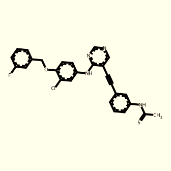 CC(=S)Nc1cccc(C#Cc2cncnc2Nc2ccc(OCc3cccc(F)c3)c(Cl)c2)c1